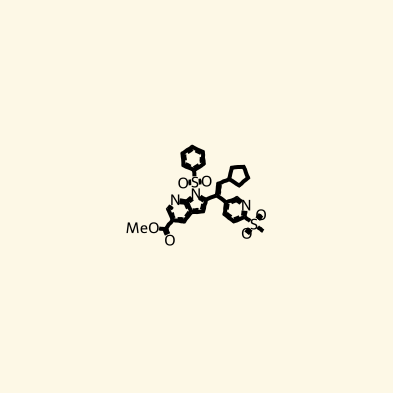 COC(=O)c1cnc2c(c1)cc(/C(=C/C1CCCC1)c1ccc(S(C)(=O)=O)nc1)n2S(=O)(=O)c1ccccc1